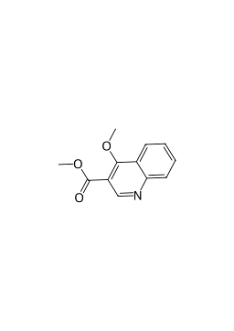 COC(=O)c1cnc2ccccc2c1OC